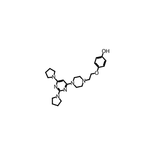 Oc1ccc(OCCN2CCN(c3cc(N4CCCC4)nc(N4CCCC4)n3)CC2)cc1